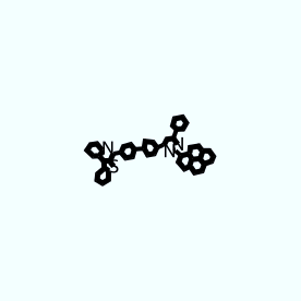 c1ccc(-c2cc(-c3ccc(-c4ccc(-c5nc6ccccc6c6c5sc5ccccc56)cc4)cc3)nc(-c3ccc4ccc5cccc6ccc3c4c56)n2)cc1